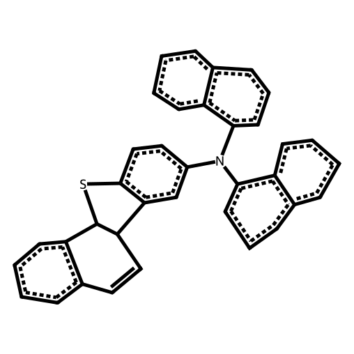 C1=CC2c3cc(N(c4cccc5ccccc45)c4cccc5ccccc45)ccc3SC2c2ccccc21